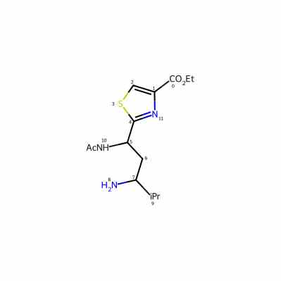 CCOC(=O)c1csc(C(CC(N)C(C)C)NC(C)=O)n1